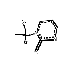 CCC(C)(CC)n1cccnc1=O